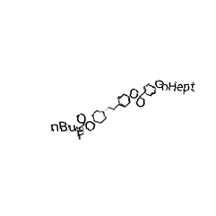 CCCCCCCOc1ccc(C(=O)Oc2ccc(CC[C@H]3CC[C@H](OC(=O)[C@@H](F)CCCC)CC3)cc2)cc1